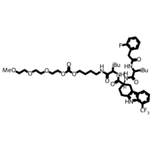 CCC(C)C(NC(=O)Cc1ccccc1F)C(=O)N[C@]1(C(=O)NC(C(=O)NCCCCOC(=O)OCCOCCOCCOC)C(C)CC)CCc2[nH]c3c(C(F)(F)F)cccc3c2C1